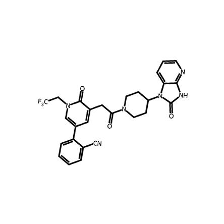 N#Cc1ccccc1-c1cc(CC(=O)N2CCC(n3c(=O)[nH]c4ncccc43)CC2)c(=O)n(CC(F)(F)F)c1